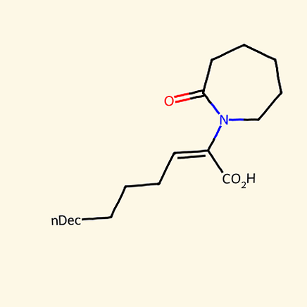 CCCCCCCCCCCCCC=C(C(=O)O)N1CCCCCC1=O